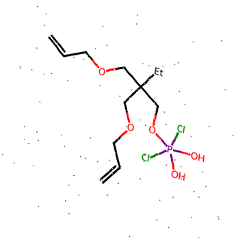 C=CCOCC(CC)(COCC=C)COP(O)(O)(Cl)Cl